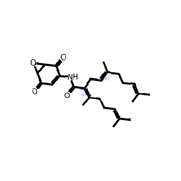 CC(C)=CCC/C(C)=C/C/C(C(=O)NC1=CC(=O)C2OC2C1=O)=C(/C)CCC=C(C)C